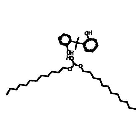 CC(C)(c1ccccc1O)c1ccccc1O.CCCCCCCCCCCCOP(O)OCCCCCCCCCCCC